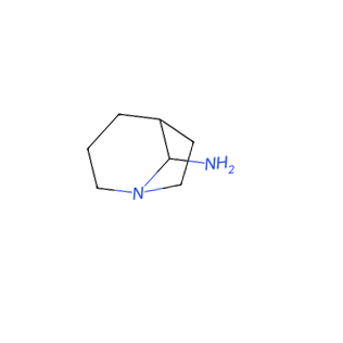 NC1C2CCCN1CC2